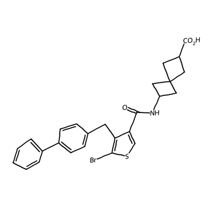 O=C(NC1CC2(C1)CC(C(=O)O)C2)c1csc(Br)c1Cc1ccc(-c2ccccc2)cc1